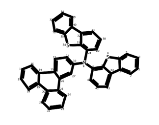 c1ccc2c(c1)sc1c(N(c3ccc4c5ccccc5c5ccccc5c4c3)c3cccc4c3sc3ccccc34)cccc12